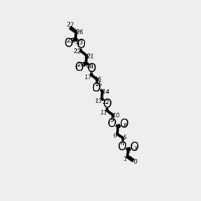 C=CC(=O)OCCC(=O)OCCOCCOCCOC(=O)CCOC(=O)C=C